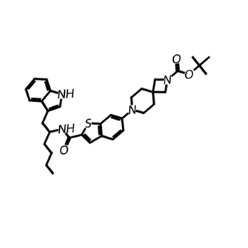 CCCCC(Cc1c[nH]c2ccccc12)NC(=O)c1cc2ccc(N3CCC4(CC3)CN(C(=O)OC(C)(C)C)C4)cc2s1